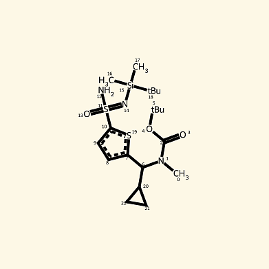 CN(C(=O)OC(C)(C)C)C(c1ccc(S(N)(=O)=N[Si](C)(C)C(C)(C)C)s1)C1CC1